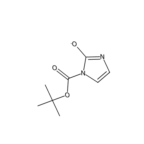 CC(C)(C)OC(=O)n1ccnc1[O]